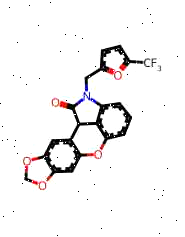 O=C1C2c3cc4c(cc3Oc3cccc(c32)N1Cc1ccc(C(F)(F)F)o1)OCO4